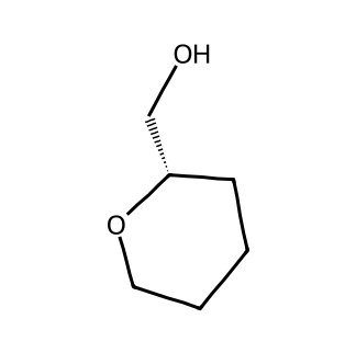 OC[C@@H]1CCCCO1